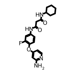 Nc1cc(Oc2ccc(NC(=O)CC(=O)NC3CCCCC3)cc2F)ccn1